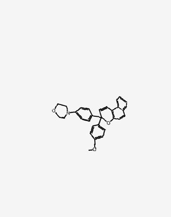 COc1ccc(C2(c3ccc(N4CCOCC4)cc3)C=Cc3c(ccc4ccccc34)O2)cc1